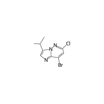 CC(C)c1cnc2c(Br)cc(Cl)nn12